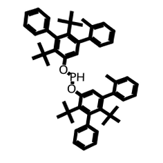 Cc1ccccc1-c1cc(OPOc2cc(-c3ccccc3C)c(C(C)(C)C)c(-c3ccccc3)c2C(C)(C)C)c(C(C)(C)C)c(-c2ccccc2)c1C(C)(C)C